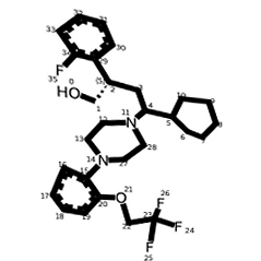 OC[C@@H](CC(C1CCCCC1)N1CCN(c2ccccc2OCC(F)(F)F)CC1)c1ccccc1F